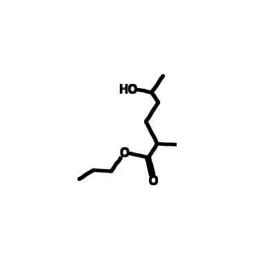 CCCOC(=O)C(C)CCC(C)O